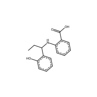 CCC(Nc1ccccc1C(=O)O)c1ccccc1O